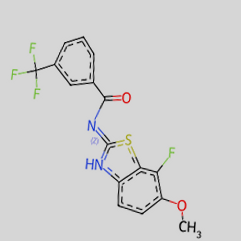 COc1ccc2[nH]/c(=N/C(=O)c3cccc(C(F)(F)F)c3)sc2c1F